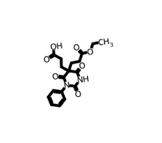 CCOC(=O)CCC1(CCC(=O)O)C(=O)NC(=O)N(c2ccccc2)C1=O